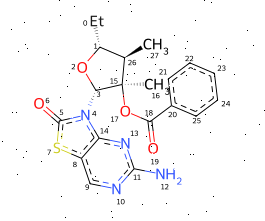 CC[C@H]1O[C@@H](n2c(=O)sc3cnc(N)nc32)[C@](C)(OC(=O)c2ccccc2)[C@@H]1C